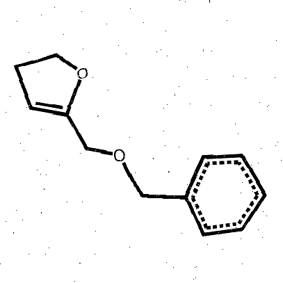 C1=C(COCc2ccccc2)OCC1